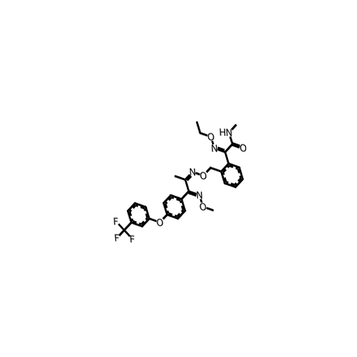 CCON=C(C(=O)NC)c1ccccc1CON=C(C)C(=NOC)c1ccc(Oc2cccc(C(F)(F)F)c2)cc1